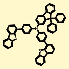 c1ccc(C2(c3ccccc3)c3ccccc3-c3ccc(N(c4ccc(-c5cccc6c5sc5ccccc56)cc4)c4ccc(-c5cccc6c5sc5ccccc56)cc4)cc32)cc1